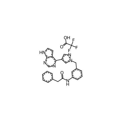 O=C(Cc1ccccc1)Nc1cccc(Cn2cc(-c3ncnc4[nH]ccc34)cn2)c1.O=C(O)C(F)(F)F